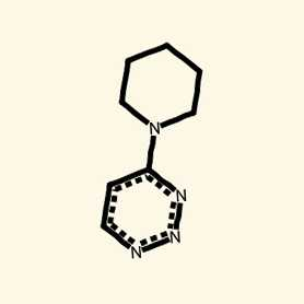 c1cc(N2CCCCC2)nnn1